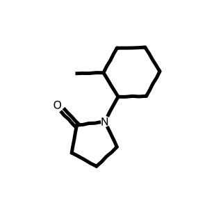 CC1CCCCC1N1CCCC1=O